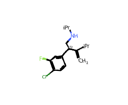 C=C(C(C)C)[C@H](CNC(C)C)c1ccc(Cl)c(F)c1